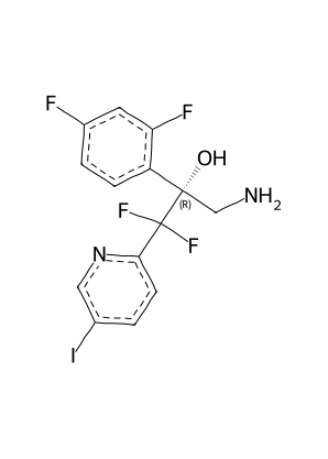 NC[C@](O)(c1ccc(F)cc1F)C(F)(F)c1ccc(I)cn1